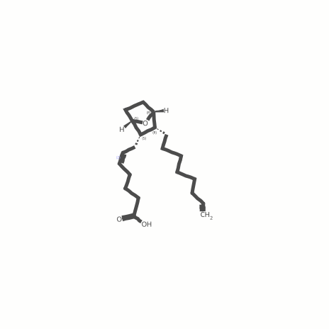 C=CCCCCCC[C@@H]1[C@H](C/C=C\CCCC(=O)O)[C@@H]2CC[C@H]1O2